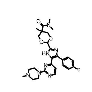 CN1CCN(c2nccc(-c3[nH]c(C4OCC(C)(C(=O)N(C)C)CO4)nc3-c3ccc(F)cc3)n2)CC1